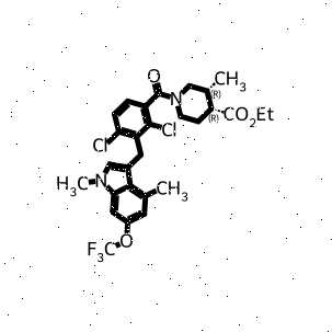 CCOC(=O)[C@@H]1CCN(C(=O)c2ccc(Cl)c(Cc3cn(C)c4cc(OC(F)(F)F)cc(C)c34)c2Cl)C[C@@H]1C